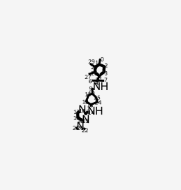 Cc1ccc(C(C)(C)NCC2CCC(Nc3nccc(N(C)C)n3)CC2)c(C)c1C